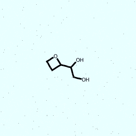 O[CH]C(O)C1CCO1